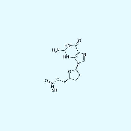 NC1NC(=O)c2ncn([C@H]3CC[C@@H](CO[PH](=O)S)O3)c2N1